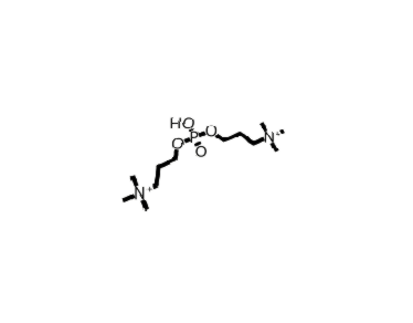 C[N+](C)(C)CCCOP(=O)(O)OCCC[N+](C)(C)C